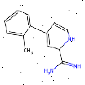 Cc1ccccc1C1=CC(C(=N)N)NC=C1